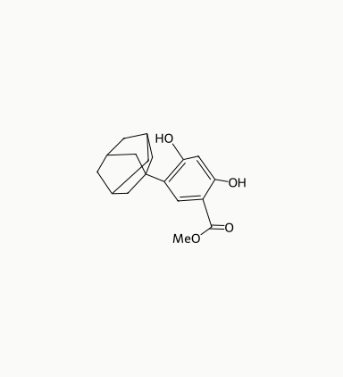 COC(=O)c1cc(C23CC4CC(CC(C4)C2)C3)c(O)cc1O